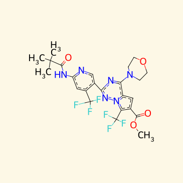 COC(=O)c1cc2c(N3CCOCC3)nc(-c3cnc(NC(=O)C(C)(C)C)cc3C(F)(F)F)nn2c1C(F)(F)F